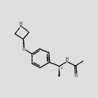 CC(=O)N[C@@H](C)c1ccc(OC2CNC2)cc1